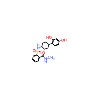 NNC(=O)c1ccccc1S(=O)(=O)NC1CCC(c2ccc(O)cc2O)CC1